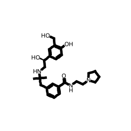 CC(C)(Cc1cccc(C(=O)NCCN2CCCC2)c1)NC[C@@H](O)c1ccc(O)c(CO)c1